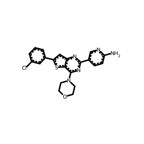 Nc1ccc(-c2nc(N3CCOCC3)c3sc(-c4cccc(Cl)c4)cc3n2)cn1